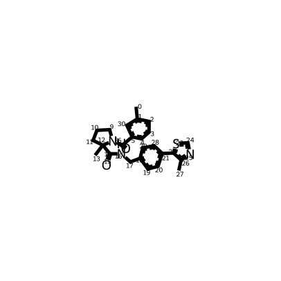 Cc1cccc(C(=O)N2CCCC2(C)C(=O)NCc2ccc(-c3scnc3C)cc2)c1